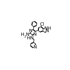 Nc1nc(-c2ccccc2)c(-c2cc(Cl)c3[nH]ncc3c2)nc1NCc1cccnc1